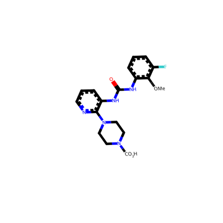 COc1c(F)cccc1NC(=O)Nc1cccnc1N1CCN(C(=O)O)CC1